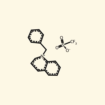 O=S(=O)([O-])C(F)(F)F.c1ccc(C[n+]2cccc3ccccc32)cc1